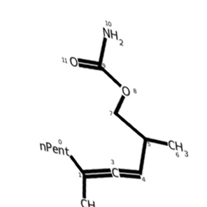 CCCCCC(C)=C=CC(C)COC(N)=O